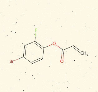 C=CC(=O)Oc1ccc(Br)cc1F